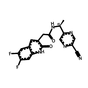 C[C@H](NC(=O)Cc1cc2cc(F)c(F)cc2[nH]c1=O)c1cnc(C#N)cn1